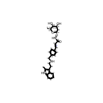 Cc1[nH]c2ccccc2c1CCNCc1ccc(/C=C/C(=O)NO[C@H]2C[C@H](O)[C@H](O)[C@H](C)O2)cc1